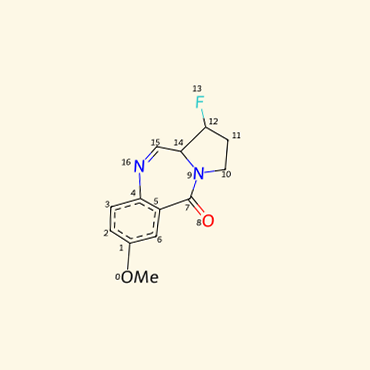 COc1ccc2c(c1)C(=O)N1CCC(F)C1C=N2